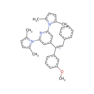 COc1cccc(/C(=C/c2ccccc2)c2cc(-n3c(C)ccc3C)nc(-n3c(C)ccc3C)c2)c1